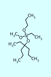 CCCO[Si](CC)(OC)OC(CC)(CCC)CCC